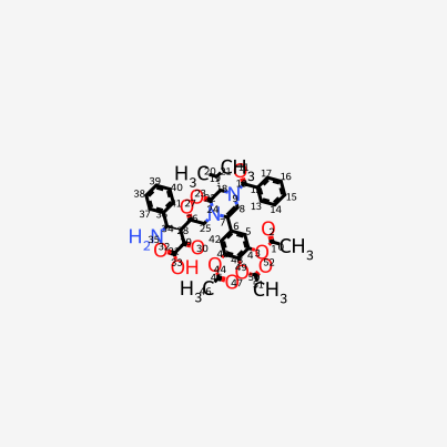 CC(=O)Oc1cc(C2=CN(C(=O)c3ccccc3)[C@@H](C(C)C)C(=O)N2CC(=O)[C@@H](C(=O)C(=O)O)C(N)c2ccccc2)cc(OC(C)=O)c1OC(C)=O